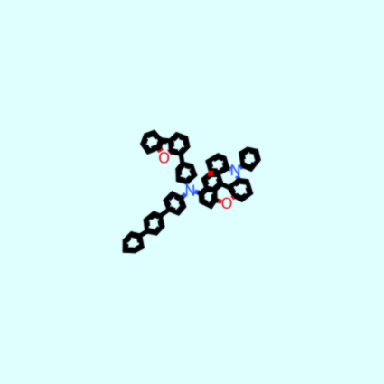 c1ccc(-c2ccc(-c3ccc(N(c4ccc(-c5cccc6c5oc5ccccc56)cc4)c4ccc5c6c(cccc46)-c4c(cccc4N(c4ccccc4)c4ccccc4)O5)cc3)cc2)cc1